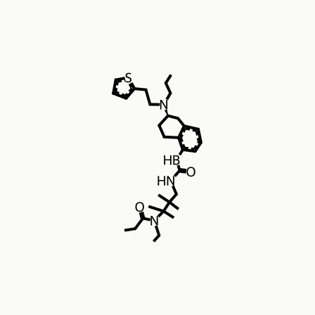 CCCN(CCc1cccs1)[C@@H]1CCc2c(BC(=O)NCC(C)(C)C(C)(C)N(CC)C(=O)CC)cccc2C1